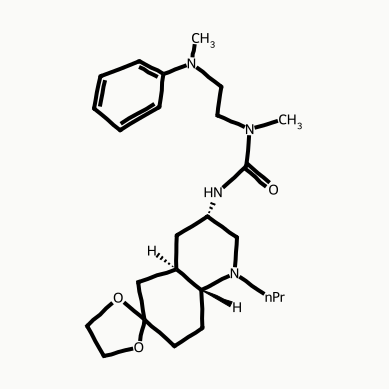 CCCN1C[C@@H](NC(=O)N(C)CCN(C)c2ccccc2)C[C@@H]2CC3(CC[C@H]21)OCCO3